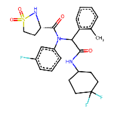 Cc1ccccc1C(C(=O)NC1CCC(F)(F)CC1)N(C(=O)[C@@H]1CCS(=O)(=O)N1)c1cccc(F)c1